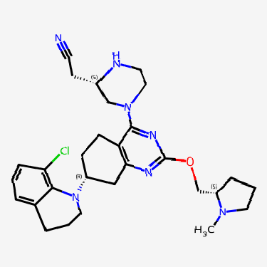 CN1CCC[C@H]1COc1nc2c(c(N3CCN[C@@H](CC#N)C3)n1)CC[C@@H](N1CCCc3cccc(Cl)c31)C2